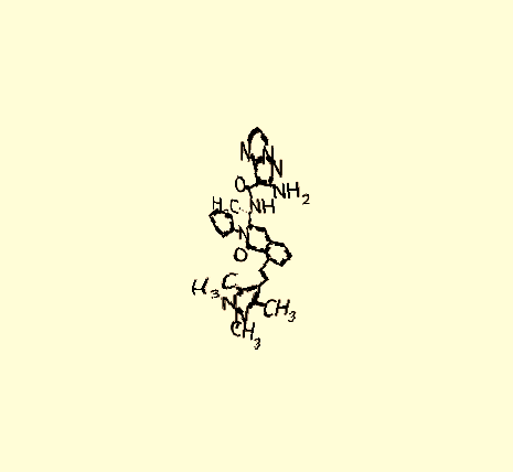 Cc1nn(C)c(C)c1/C=C/c1cccc2cc([C@H](C)NC(=O)c3c(N)nn4cccnc34)n(-c3ccccc3)c(=O)c12